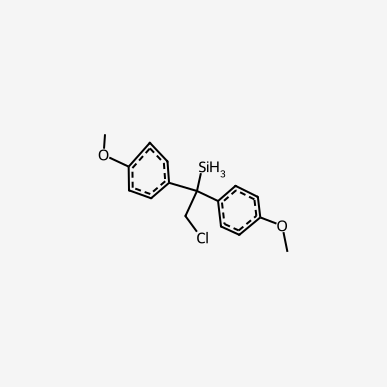 COc1ccc(C([SiH3])(CCl)c2ccc(OC)cc2)cc1